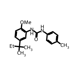 CCC(C)(C)c1ccc(OC)c(NC(=O)Nc2ccc(C)cc2)c1